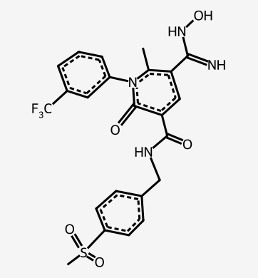 Cc1c(C(=N)NO)cc(C(=O)NCc2ccc(S(C)(=O)=O)cc2)c(=O)n1-c1cccc(C(F)(F)F)c1